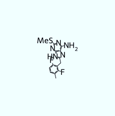 CSc1nc(N)c2nc(Cc3c(F)ccc(C)c3F)[nH]c2n1